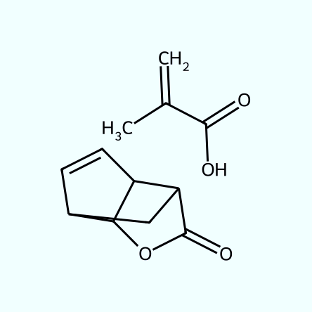 C=C(C)C(=O)O.O=C1OC2C3C=CC2C1C3